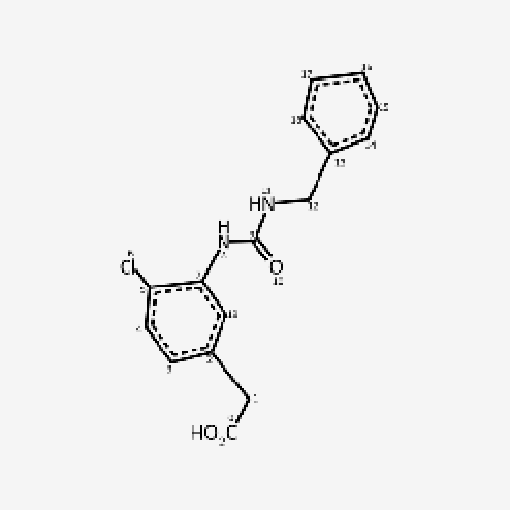 O=C(O)Cc1ccc(Cl)c(NC(=O)NCc2ccccc2)c1